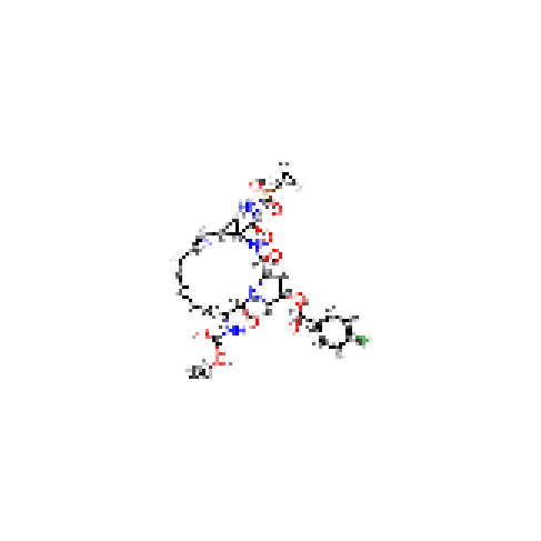 CC(C)(C)OC(=O)NC1CCCCC/C=C/C2CC2(C(=O)NS(=O)(=O)C2CC2)NC(=O)C2CC(OC(=O)c3ccc(F)cc3)CN2C1=O